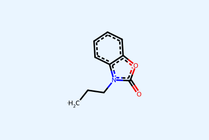 [CH2]CCn1c(=O)oc2ccccc21